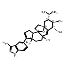 Cc1n[nH]c2ccc(C3=CCC4[C@@]56CC[C@]7(C[C@H](N(C)C)[C@@H](O)[C@H](O)C7=CC5(C#N)CC[C@]34C)O6)cc12